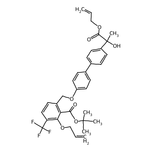 C=CCOC(=O)C(C)(O)c1ccc(-c2ccc(OCc3ccc(C(F)(F)F)c(OCC=C)c3C(=O)OC(C)(C)C)cc2)cc1